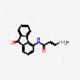 O=C(O)/C=C/C(=O)Nc1cccc2c1-c1ccccc1C2=O